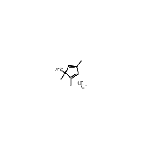 CC1=C[C](C)([Zr+2])C(C)=C1.[Cl-].[Cl-]